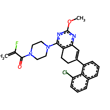 C=C(F)C(=O)N1CCN(c2nc(OC)nc3c2CCC(c2cccc4cccc(Cl)c24)=C3)CC1